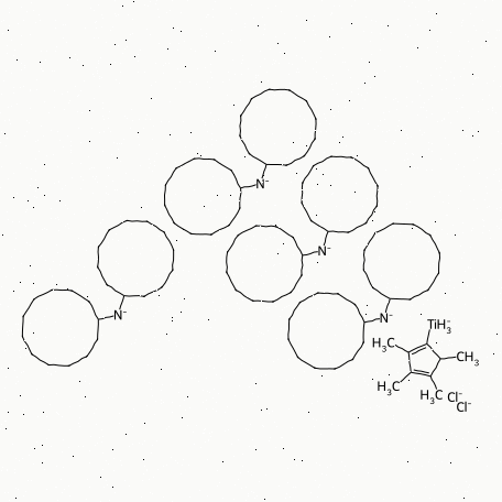 C1CCCCCC([N-]C2CCCCCCCCCCC2)CCCCC1.C1CCCCCC([N-]C2CCCCCCCCCCC2)CCCCC1.C1CCCCCC([N-]C2CCCCCCCCCCC2)CCCCC1.C1CCCCCC([N-]C2CCCCCCCCCCC2)CCCCC1.CC1=C(C)C(C)[C]([TiH3-])=C1C.[Cl-].[Cl-]